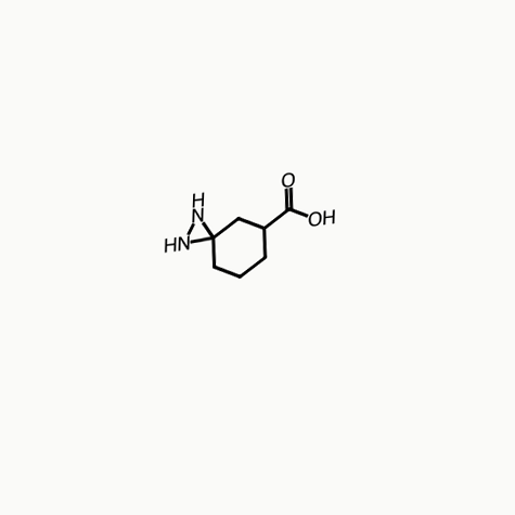 O=C(O)C1CCCC2(C1)NN2